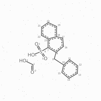 O=CO.O=S(=O)(O)c1c(Cc2ccccc2)ccc2ccccc12